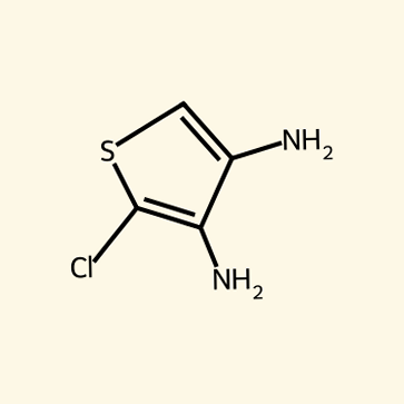 Nc1csc(Cl)c1N